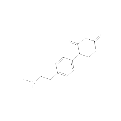 CNCCc1ccc(C2CCC(=O)NC2=O)cc1